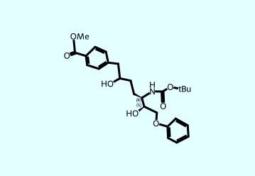 COC(=O)c1ccc(CC(O)CC[C@@H](NC(=O)OC(C)(C)C)[C@H](O)COc2ccccc2)cc1